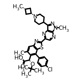 Cc1cc2nc(-c3cnc4c(n3)c(C3CCN([C@H]5C[C@@H](C)C5)CC3)nn4C)sc2c(-c2ccc(Cl)cc2)c1[C@H](OC(C)(C)C)C(=O)O